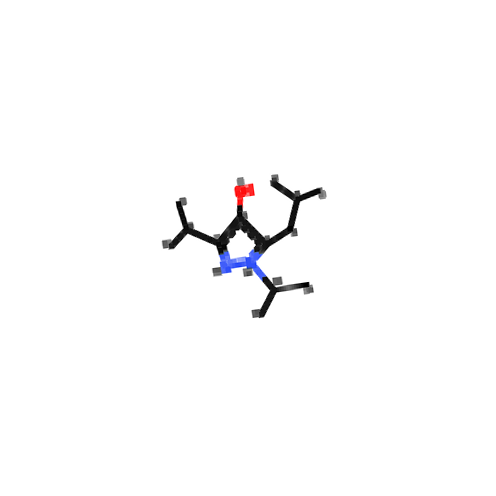 CC(C)Cc1c(O)c(C(C)C)nn1C(C)C